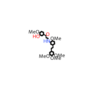 COc1ccc(C(=O)C=CNc2cc(C=Cc3cc(OC)c(OC)c(OC)c3)ccc2OC)cc1O